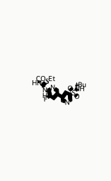 CCOC(=O)NC(=S)Nc1ncc(-c2cncc(S(=O)(=O)NC(C)(C)C)c2)cc1F